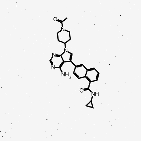 CC(=O)N1CCC(n2cc(-c3ccc4c(C(=O)NC5CC5)cccc4c3)c3c(N)ncnc32)CC1